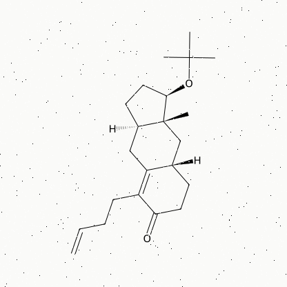 C=CCCC1=C2C[C@H]3CC[C@@H](OC(C)(C)C)[C@]3(C)C[C@@H]2CCC1=O